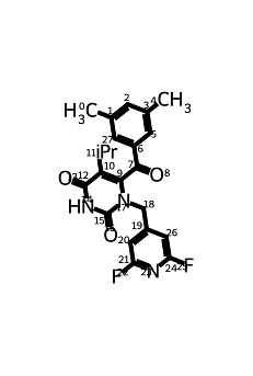 Cc1cc(C)cc(C(=O)c2c(C(C)C)c(=O)[nH]c(=O)n2Cc2cc(F)nc(F)c2)c1